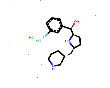 Cl.Cl.O[C@H](c1cccc(F)c1)[C@H]1CC[C@@H](C[C@H]2CCCNC2)N1